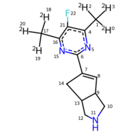 [2H]C([2H])([2H])c1nc(C2=CC3CNCC3C2)nc(C([2H])([2H])[2H])c1F